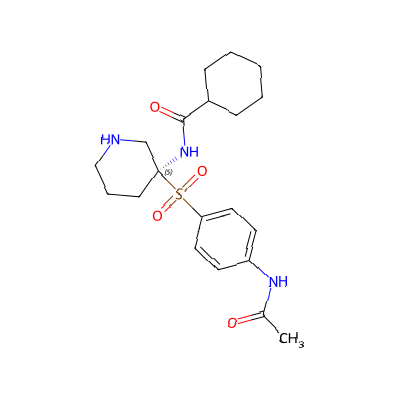 CC(=O)Nc1ccc(S(=O)(=O)[C@@]2(NC(=O)C3CCCCC3)CCCNC2)cc1